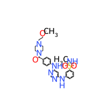 CNS(=O)(=O)c1cccc(Nc2cc(Nc3ccc(C(=O)N4CCN(CCOC)CC4)cc3)ncn2)c1